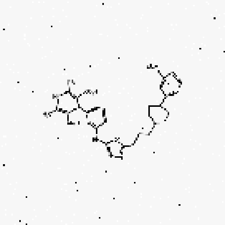 COc1cccc(C2CCN(CCCc3nnc(Nc4cccc(C5C(C(=O)O)=C(C)NC(C)=C5C(=O)O)c4)o3)CC2)c1